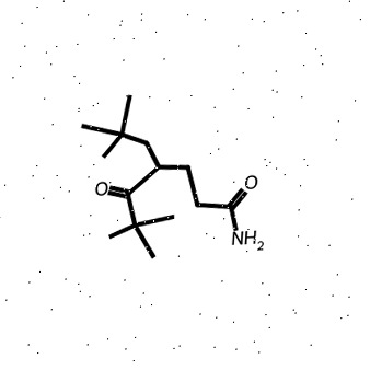 CC(C)(C)CC(CCC(N)=O)C(=O)C(C)(C)C